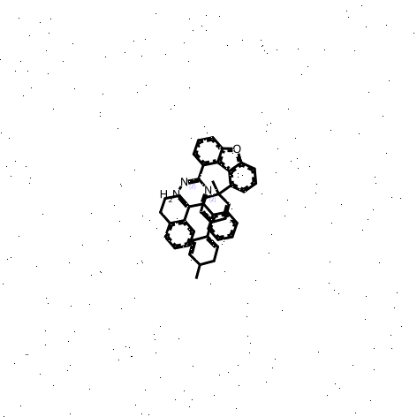 CC1C=CC(C2=CCC(C)(c3cccc4oc5cccc(C(/N=C(\C6=CCCc7ccccc76)c6ccccc6)=N/N)c5c34)C=C2)=CC1